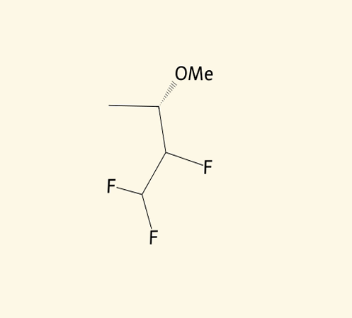 CO[C@@H](C)C(F)C(F)F